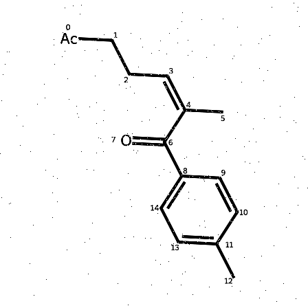 CC(=O)CC/C=C(/C)C(=O)c1ccc(C)cc1